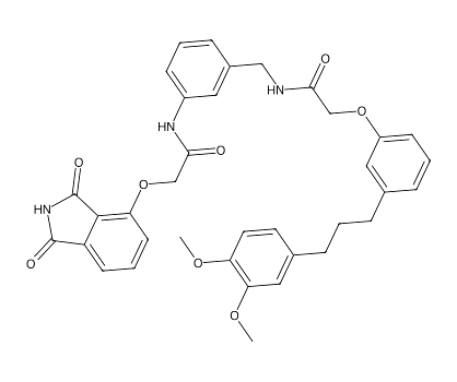 COc1ccc(CCCc2cccc(OCC(=O)NCc3cccc(NC(=O)COc4cccc5c4C(=O)NC5=O)c3)c2)cc1OC